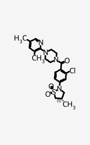 Cc1cnc(N2CCN(C(=O)c3ccc(N4C[C@H](C)CS4(=O)=O)cc3Cl)CC2)c(C)c1